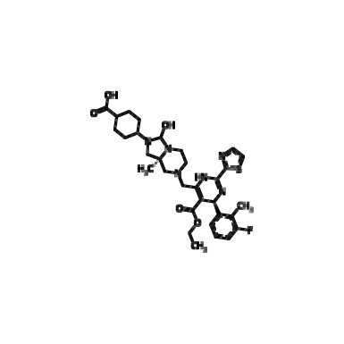 CCOC(=O)C1=C(CN2CCN3C(O)N(C4CCC(C(=O)O)CC4)C[C@]3(C)C2)NC(c2nccs2)=N[C@H]1c1cccc(F)c1C